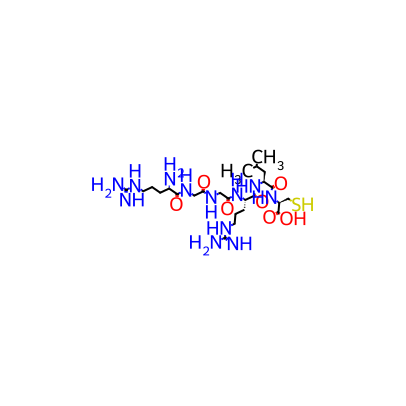 CC(C)C[C@H](NC(=O)[C@H](CCCNC(=N)N)NC(=O)CNC(=O)CNC(=O)[C@@H](N)CCCNC(=N)N)C(=O)N[C@@H](CS)C(=O)O